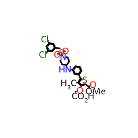 COC(=O)c1sc(-c2cccc(NC3CCN(S(=O)(=O)Cc4cc(Cl)cc(Cl)c4)CC3)c2)c(C)c1OCC(=O)O